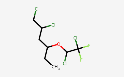 CCC(CC(Cl)CCl)OC(Cl)C(F)(F)Cl